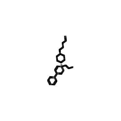 C=CCCC[C@H]1CC[C@H](C2(CCC)C=CC(c3ccccc3)=CC2)CC1